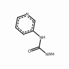 CNC(=O)Nc1[c]ccnc1